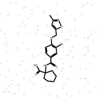 Cc1cc(COc2ccc(C(=O)NC3(C(=O)O)CCCCC3)cc2Br)on1